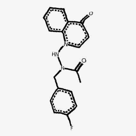 CC(=O)N(Cc1ccc(F)cc1)Nn1ccc(=O)c2ccccc21